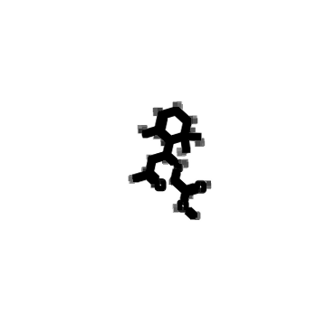 COC(=O)CSC(CC(C)=O)C1C(C)=CCCC1(C)C